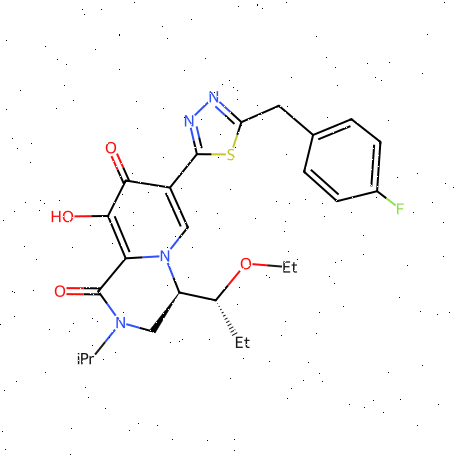 CCO[C@H](CC)[C@H]1CN(C(C)C)C(=O)c2c(O)c(=O)c(-c3nnc(Cc4ccc(F)cc4)s3)cn21